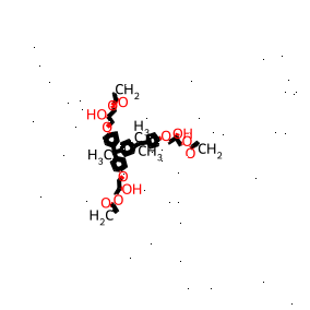 C=CC(=O)OCC(O)COc1ccc(C(C)(C)c2ccc(C(C)(c3ccc(OCC(O)COC(=O)C=C)cc3)c3ccc(OCC(O)COC(=O)C=C)cc3)cc2)cc1